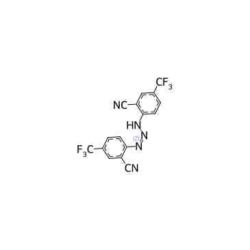 N#Cc1cc(C(F)(F)F)ccc1/N=N\Nc1ccc(C(F)(F)F)cc1C#N